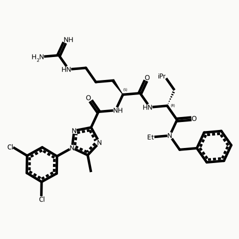 CCN(Cc1ccccc1)C(=O)[C@@H](CC(C)C)NC(=O)[C@H](CCCNC(=N)N)NC(=O)c1nc(C)n(-c2cc(Cl)cc(Cl)c2)n1